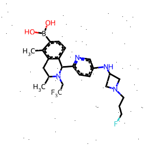 Cc1c(B(O)O)ccc2c1CC(C)N(CC(F)(F)F)C2c1ccc(NC2CN(CCCF)C2)cn1